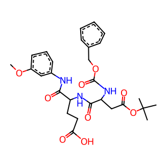 COc1cccc(NC(=O)C(CCC(=O)O)NC(=O)C(CC(=O)OC(C)(C)C)NC(=O)OCc2ccccc2)c1